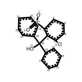 O=[N+]([O-])c1cccc(Cl)c1C(O)(c1ccccc1)c1ccccc1